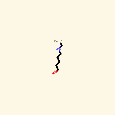 CCCCCCNCCCCCO